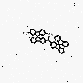 Bc1ccc2c(c1)C1(c3ccccc3-c3ccc(C(=O)c4ccc5c(c4)C4(c6ccccc6-c6ccccc64)c4ccccc4-5)cc31)c1cc(B)ccc1-2